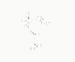 COc1cc(-c2c[nH]c(=O)c(NC3CN(C(=O)C=CCNC(C)C)C3)c2)ccn1